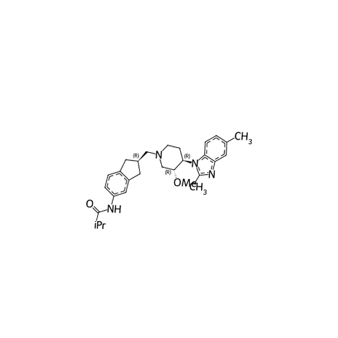 CO[C@@H]1CN(C[C@@H]2Cc3ccc(NC(=O)C(C)C)cc3C2)CC[C@H]1n1c(C)nc2cc(C)ccc21